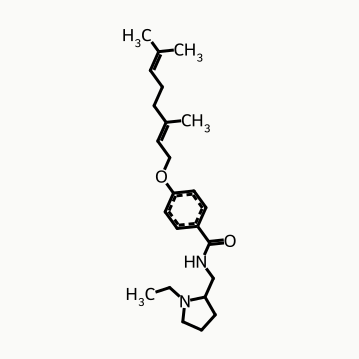 CCN1CCCC1CNC(=O)c1ccc(OC/C=C(\C)CCC=C(C)C)cc1